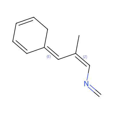 C=N/C=C(C)\C=C1\C=CC=CC1